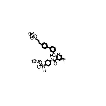 CC(C)(C)OC(=O)NC1CCC(NC(=O)c2cc(F)cnc2Oc2cccc(-c3ccc(CCCOS(C)(=O)=O)cc3)c2)CC1